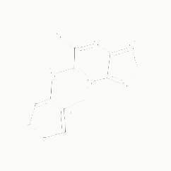 Nc1nc2nonc2nc1Nc1ccccc1F